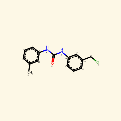 Cc1cccc(NC(=O)Nc2cccc(CCl)c2)c1